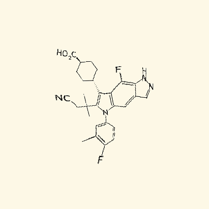 Cc1cc(-n2c(C(C)(C)CC#N)c([C@H]3CC[C@H](C(=O)O)CC3)c3c(F)c4[nH]ncc4cc32)ccc1F